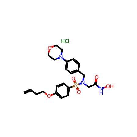 C=CCCOc1ccc(S(=O)(=O)N(CC(=O)NO)Cc2ccc(N3CCOCC3)cc2)cc1.Cl